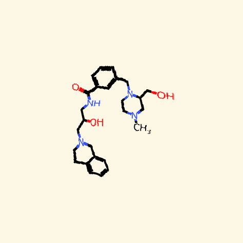 CN1CCN(Cc2cccc(C(=O)NCC(O)CN3CCc4ccccc4C3)c2)C(CO)C1